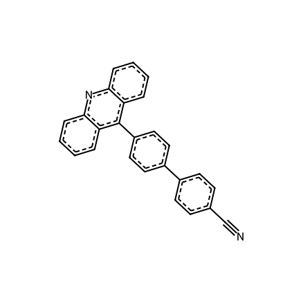 N#Cc1ccc(-c2ccc(-c3c4ccccc4nc4ccccc34)cc2)cc1